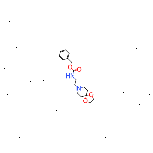 O=C(NCCN1CCC2(CC1)OCCO2)OCc1ccccc1